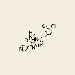 NC(=O)c1c(-c2ccncc2)n[nH]c1NC(=O)CCc1ccc(Cl)c(Cl)c1